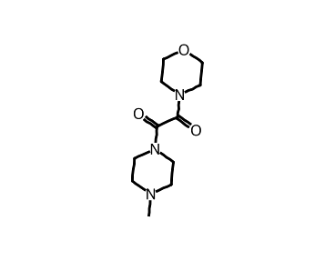 CN1CCN(C(=O)C(=O)N2CCOCC2)CC1